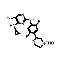 O=CN1CCOC(c2cc(F)c(Nc3ncc(C(F)(F)F)c(NC4CC4)n3)cc2F)C1